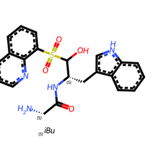 CC[C@H](C)[C@H](N)C(=O)N[C@@H](Cc1c[nH]c2ccccc12)C(O)S(=O)(=O)c1cccc2cccnc12